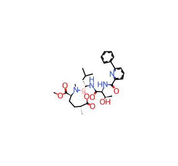 COC(=O)[C@@H]1CC[C@@H](C)C(=O)OB([C@H](CC(C)C)NC(=O)[C@@H](NC(=O)c2cccc(-c3ccccc3)n2)[C@@H](C)O)N1C